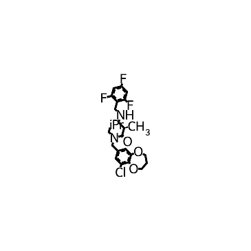 CC(C)CN(Cc1cc(Cl)c2c(c1)OCCCO2)C(=O)[C@H](C)CNCc1c(F)cc(F)cc1F